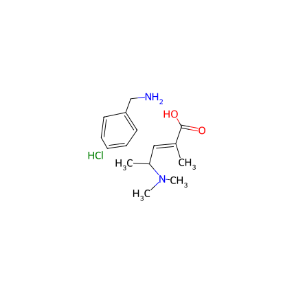 CC(=CC(C)N(C)C)C(=O)O.Cl.NCc1ccccc1